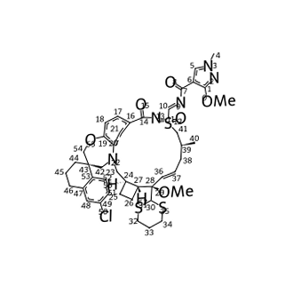 COc1nn(C)cc1C(=O)/N=C/S1(=O)=NC(=O)c2ccc3c(c2)N(C[C@@H]2CC[C@H]2[C@@](OC)(C2SCCCS2)/C=C/C[C@H](C)C1)C[C@@]1(CCCc2cc(Cl)ccc21)CO3